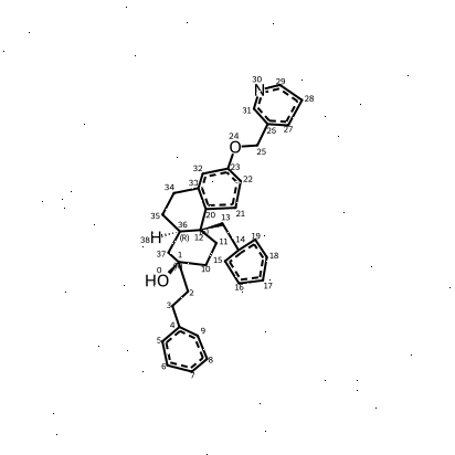 O[C@]1(CCc2ccccc2)CC[C@@]2(Cc3ccccc3)c3ccc(OCc4cccnc4)cc3CC[C@@H]2C1